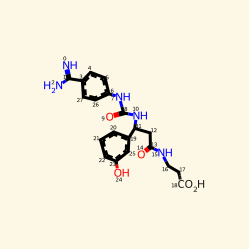 N=C(N)c1ccc(NC(=O)NC(CC(=O)NCCC(=O)O)c2cccc(O)c2)cc1